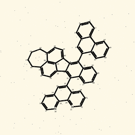 c1ccc2c(c1)cc(-c1c3c(c(-c4cc5cccnc5c5ncccc45)c4ccccc14)-c1ccc4c5c(ccc-3c15)CCCC4)c1ccccc12